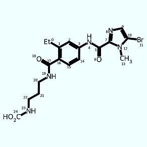 CCc1cc(NC(=O)c2ncc(Br)n2C)ccc1C(=O)NCCCNC(=O)O